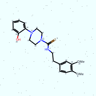 COc1ccc(CCNC(=S)N2CCN(c3ccccc3O)CC2)cc1OC